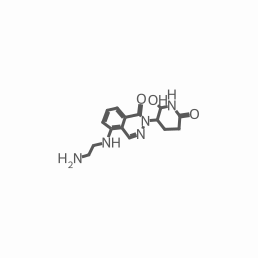 NCCNc1cccc2c(=O)n(C3CCC(=O)NC3O)ncc12